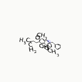 C=C(C)CCc1c(OC)cc(/C=C/Cc2ccccc2)c(C(=O)OC)c1O